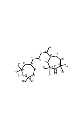 CC(CCCC1CCC(C)(C)NC(C)(C)C1)C1CCC(C)(C)NC(C)(C)C1